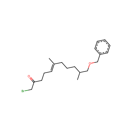 CC(=CCCC(=O)CBr)CCCC(C)COCc1ccccc1